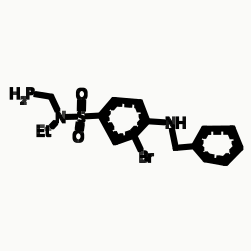 CCN(CP)S(=O)(=O)c1ccc(NCc2ccccc2)c(Br)c1